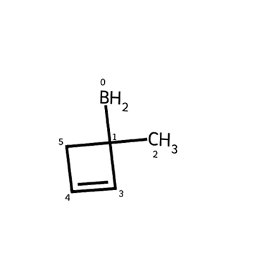 BC1(C)C=CC1